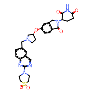 O=C1CCC(N2Cc3cc(O[C@H]4CCN(Cc5ccc6nc(N7CCS(=O)(=O)CC7)ncc6c5)C4)ccc3C2=O)C(=O)N1